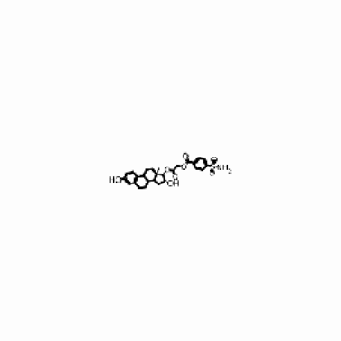 C[C@]12CCC3c4ccc(O)cc4CCC3C1C[C@@H](O)[C@@H]2OC(=O)COC(=O)c1ccc(S(N)(=O)=O)cc1